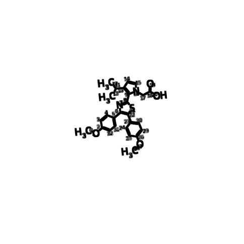 COc1ccc(-c2nc(-c3c(C(C)C)ccn3CC(=O)O)sc2-c2ccc(OC)cc2)cc1